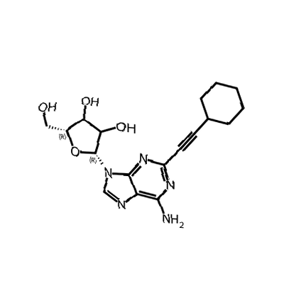 Nc1nc(C#CC2CCCCC2)nc2c1ncn2[C@@H]1O[C@H](CO)C(O)C1O